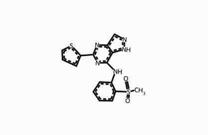 CS(=O)(=O)c1ccccc1Nc1nc(-c2cccs2)nc2cn[nH]c12